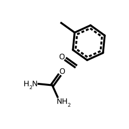 C=O.Cc1ccccc1.NC(N)=O